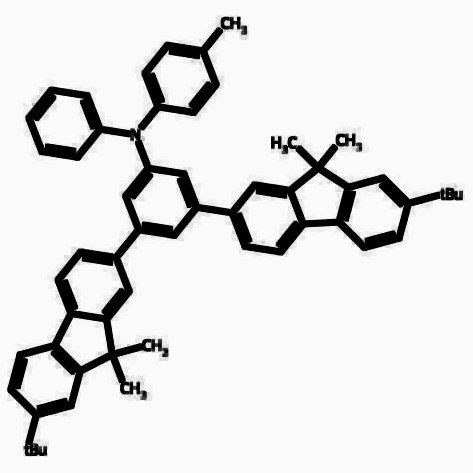 Cc1ccc(N(c2ccccc2)c2cc(-c3ccc4c(c3)C(C)(C)c3cc(C(C)(C)C)ccc3-4)cc(-c3ccc4c(c3)C(C)(C)c3cc(C(C)(C)C)ccc3-4)c2)cc1